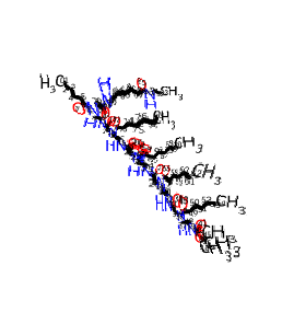 CCCCCCC(=O)N(CCNC(=O)CN(CCNC(=O)CN(CCNC(=O)CN(CCNC(=O)CN(CCNC(=O)OC(C)(C)C)C(=O)CCCCCC)C(=O)CCCCCC)C(=O)CCCCCC)C(=O)CCCCCC)CC(=O)NCCCCCC(=O)NCCC